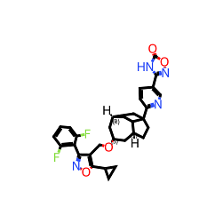 O=c1[nH]c(-c2ccc(C34CC[C@H]5C[C@@H](OCc6c(-c7c(F)cccc7F)noc6C6CC6)C[C@H](CC53)C4)nc2)no1